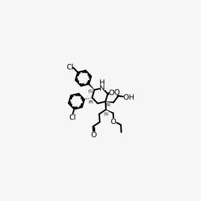 CCOC[C@@H](CCC=O)[C@]1(CC(=O)O)C[C@H](c2cccc(Cl)c2)[C@@H](c2ccc(Cl)cc2)NC1=O